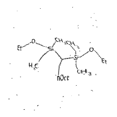 CCCCCCCCC([Si](C)(C)OCC)[Si](C)(C)OCC